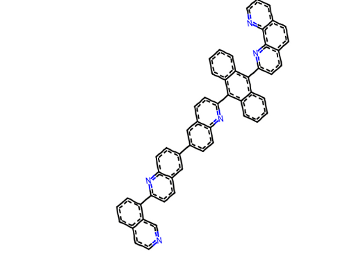 c1cc(-c2ccc3cc(-c4ccc5nc(-c6c7ccccc7c(-c7ccc8ccc9cccnc9c8n7)c7ccccc67)ccc5c4)ccc3n2)c2cnccc2c1